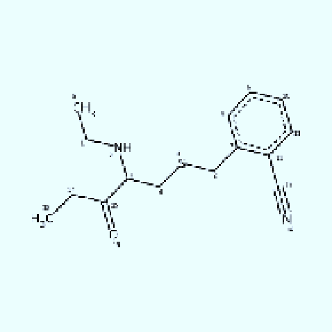 CCNC(CSCc1ccccc1C#N)C(=O)CC